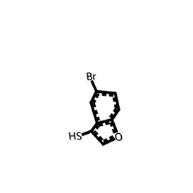 Sc1coc2ccc(Br)cc12